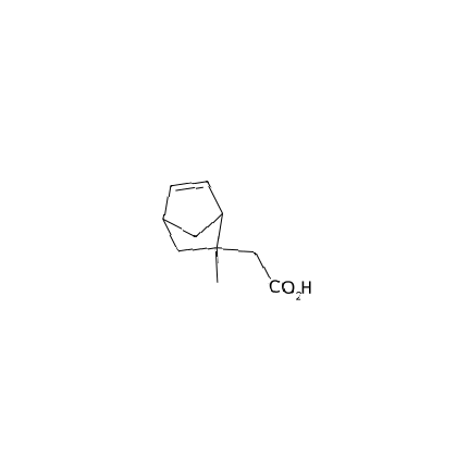 CC1(CC(=O)O)CC2C=CC1C2